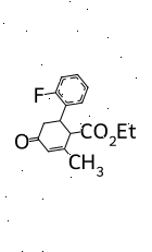 CCOC(=O)C1C(C)=CC(=O)CC1c1ccccc1F